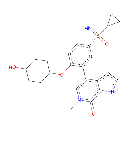 Cn1cc(-c2cc(S(=N)(=O)C3CC3)ccc2OC2CCC(O)CC2)c2cc[nH]c2c1=O